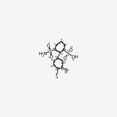 NS(=O)(=O)c1cccc(S(=O)(=O)O)c1-c1ccc(F)c(Br)c1